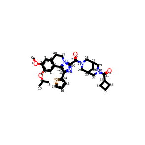 COc1cc2c(cc1OC(C)C)-c1c(-c3cccs3)nc(C(=O)N3CC4CC(C3)CN(C(=O)C3CCC3)C4)n1CC2